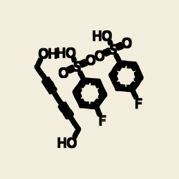 O=S(=O)(O)c1ccc(F)cc1.O=S(=O)(O)c1ccc(F)cc1.OCC#CC#CCO